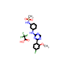 COc1cc(F)ccc1-c1ncnc(Nc2cccc(NS(C)(=O)=O)c2)n1.O=C(O)C(F)(F)F